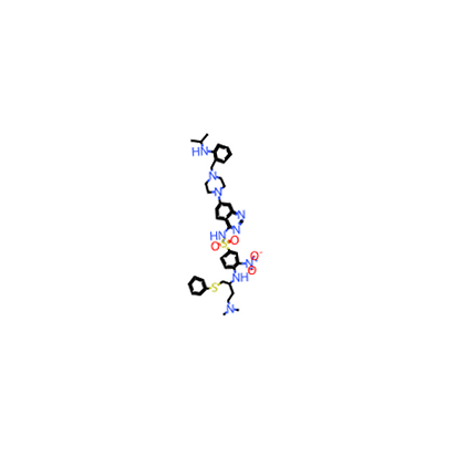 CC(C)Nc1ccccc1CN1CCN(c2ccc3c(NS(=O)(=O)c4ccc(NC(CCN(C)C)CSc5ccccc5)c([N+](=O)[O-])c4)ncnc3c2)CC1